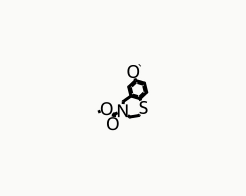 COC(=O)N1CCSc2ccc(OC)cc2C1